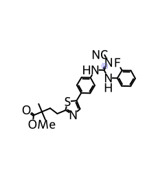 COC(=O)C(C)(C)CCc1ncc(-c2ccc(N/C(=N\C#N)Nc3ccccc3F)cc2)s1